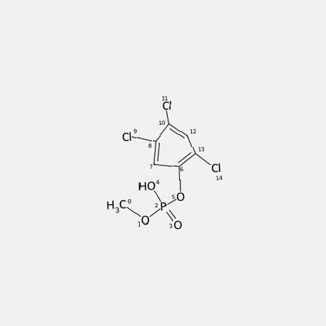 COP(=O)(O)Oc1cc(Cl)c(Cl)cc1Cl